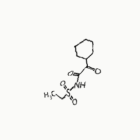 CCS(=O)(=O)NC(=O)C(=O)C1CCCCC1